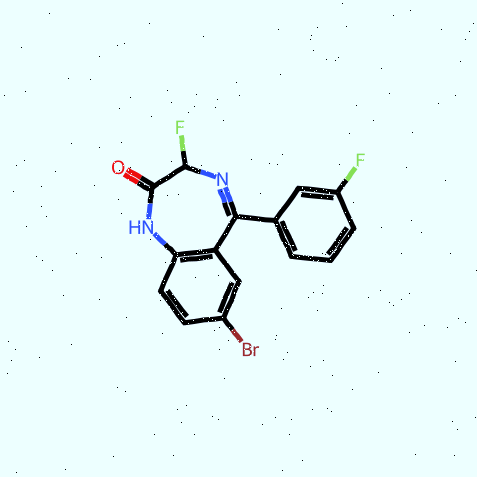 O=C1Nc2ccc(Br)cc2C(c2cccc(F)c2)=NC1F